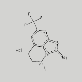 C[C@@H]1CCc2cc(C(F)(F)F)cc3sc(=N)n1c23.Cl